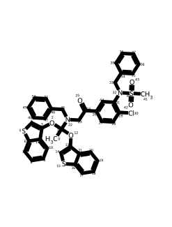 CC(Oc1csc2ccccc12)(Oc1csc2ccccc12)N(CC(=O)c1ccc(Cl)c(N(Cc2ccccc2)S(C)(=O)=O)c1)Cc1ccccc1